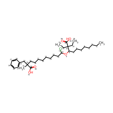 CCCCCCCCC(OC(Cl)CCCCCCCCC(C)(Cc1ccccc1)C(=O)O)C(CC)(CC)C(=O)O